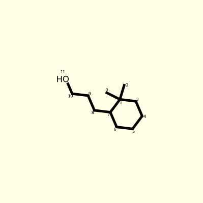 CC1(C)CCCCC1CCCO